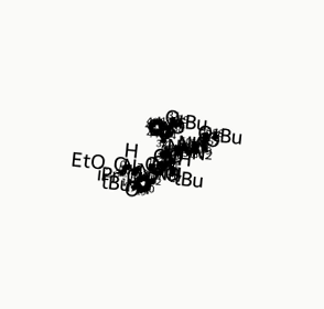 CCOC(=O)[C@H](CC(C)C)NC(=O)CNC(=O)[C@H](Cc1ccc(OC(C)(C)C)cc1)NC(=O)[C@H](COC(C)(C)C)NC(=O)[C@H](Cc1cn(C(=O)OC(C)(C)C)c2ccccc12)NC(=O)[C@@H](N)Cc1cn(C(=O)OC(C)(C)C)cn1